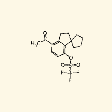 CC(=O)c1ccc(OS(=O)(=O)C(F)(F)F)c2c1CCC21CCCC1